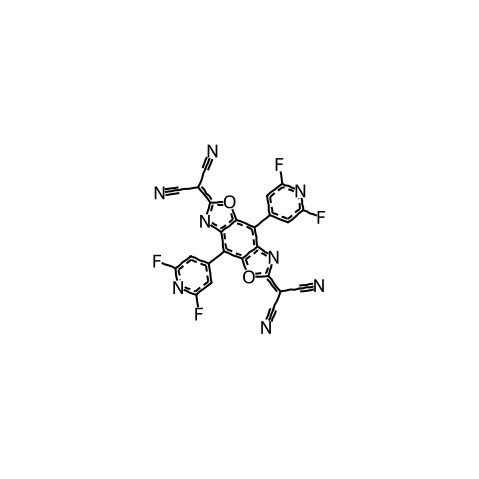 N#CC(C#N)=c1nc2c(-c3cc(F)nc(F)c3)c3oc(=C(C#N)C#N)nc3c(-c3cc(F)nc(F)c3)c2o1